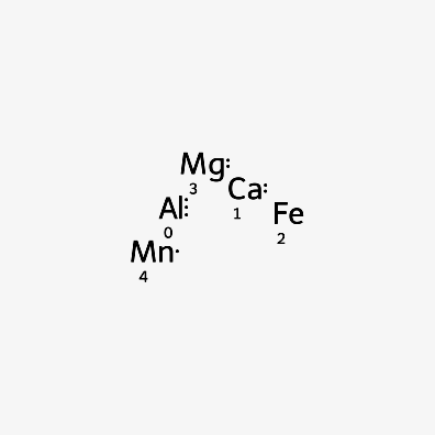 [Al].[Ca].[Fe].[Mg].[Mn]